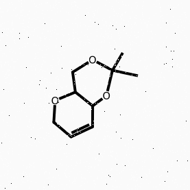 CC1(C)OCC2OCC=CC2O1